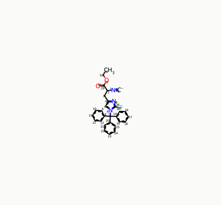 [C-]#[N+]C(Cc1cn(C(c2ccccc2)(c2ccccc2)c2ccccc2)c(F)n1)C(=O)OCC